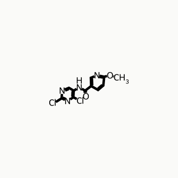 COc1ccc(C(=O)Nc2cnc(Cl)nc2Cl)cn1